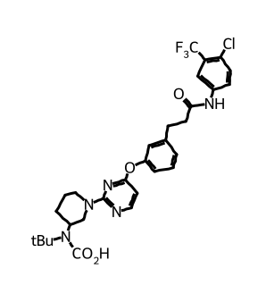 CC(C)(C)N(C(=O)O)C1CCCN(c2nccc(Oc3cccc(CCC(=O)Nc4ccc(Cl)c(C(F)(F)F)c4)c3)n2)C1